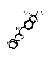 Cc1nc2ccc(NC3=NO[C@@]4(C3)CN3CCC4CC3)cc2n1C